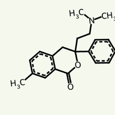 Cc1ccc2c(c1)C(=O)OC(CCN(C)C)(c1ccccc1)C2